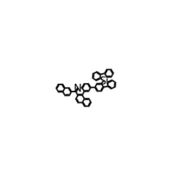 c1ccc2c(c1)-c1ccccc1[Si]21c2ccccc2-c2ccc(-c3ccc4nc(-c5ccc6ccccc6c5)c5ccc6ccccc6c5c4c3)cc21